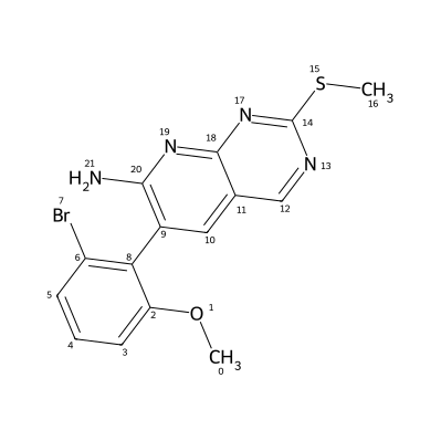 COc1cccc(Br)c1-c1cc2cnc(SC)nc2nc1N